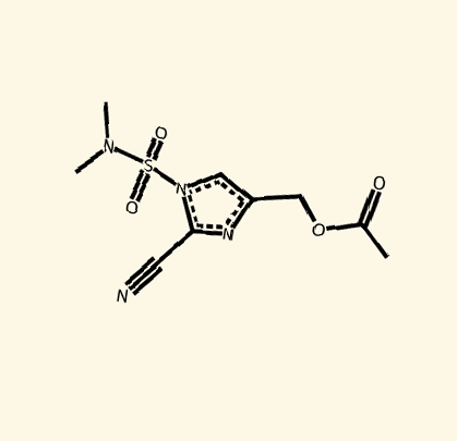 CC(=O)OCc1cn(S(=O)(=O)N(C)C)c(C#N)n1